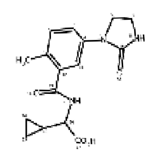 Cc1ccc(N2CCNC2=O)cc1C(=O)NC(C(=O)O)C1CC1